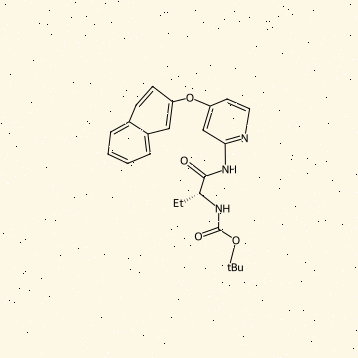 CC[C@@H](NC(=O)OC(C)(C)C)C(=O)Nc1cc(Oc2ccc3ccccc3c2)ccn1